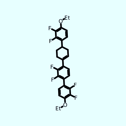 CCOc1ccc(-c2ccc(C3=CCC(c4ccc(OCC)c(F)c4F)CC3)c(F)c2F)c(F)c1F